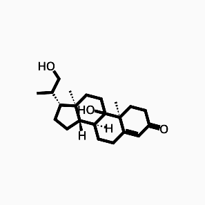 CC(CO)[C@H]1CC[C@H]2[C@@H]3CCC4=CC(=O)CC[C@]4(C)C3(O)CC[C@]12C